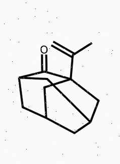 C=C(C)C12CC3CC(CC(C3)C1=O)C2